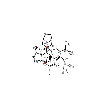 Cc1c[nH]c2nccc(N3CC4CCC(C3)N4C(=O)[C@H](CN(C(=O)OC(C)(C)C)C(C)C)c3ccc(Cl)cc3)c12